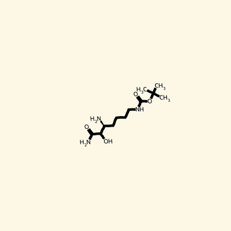 CC(C)(C)OC(=O)NCCCC[C@H](N)C(O)C(N)=O